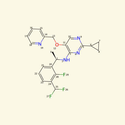 C[C@@H](Nc1nc(C2CC2)ncc1OCc1ccccn1)c1cccc(C(F)F)c1F